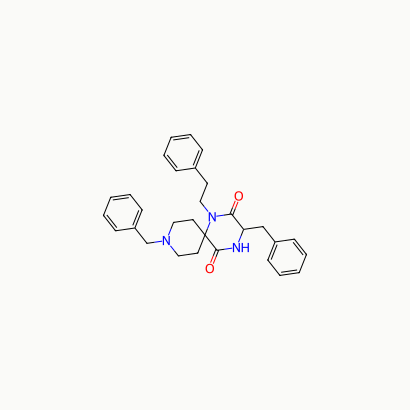 O=C1C(Cc2ccccc2)NC(=O)C2(CCN(Cc3ccccc3)CC2)N1CCc1ccccc1